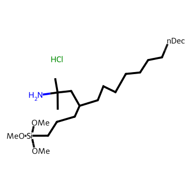 CCCCCCCCCCCCCCCCCC(CCC[Si](OC)(OC)OC)CC(C)(C)N.Cl